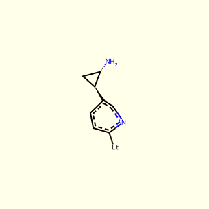 CCc1ccc([C@H]2C[C@@H]2N)cn1